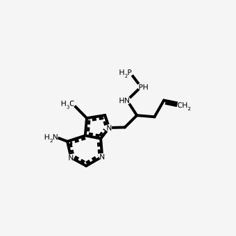 C=CCC(Cn1cc(C)c2c(N)ncnc21)NPP